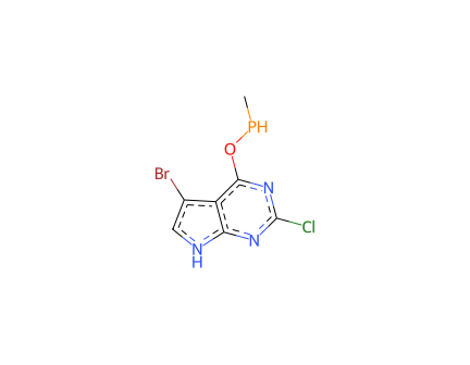 CPOc1nc(Cl)nc2[nH]cc(Br)c12